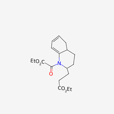 CCOC(=O)CCC1CCC2CC=CC=C2N1C(=O)C(=O)OCC